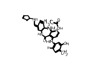 CC(=O)O.Cc1cc(F)c(Nc2ccnc3c2C(=O)Nc2cc(CNC4CCCC4)ccc2N3)cc1O